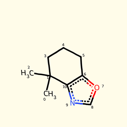 CC1(C)CCCc2ocnc21